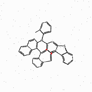 Cc1ccccc1N(c1ccc2c(c1)sc1ccccc12)c1ccc2ccccc2c1-c1cccc2ccccc12